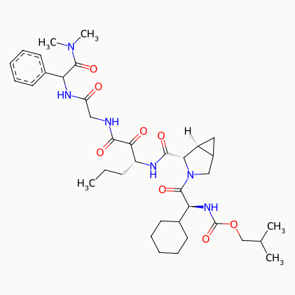 CCC[C@@H](NC(=O)[C@@H]1[C@H]2CC2CN1C(=O)[C@@H](NC(=O)OCC(C)C)C1CCCCC1)C(=O)C(=O)NCC(=O)NC(C(=O)N(C)C)c1ccccc1